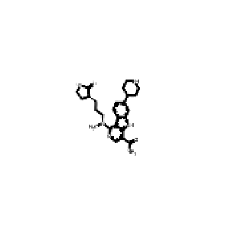 CN(CCC[C@H]1CCNC1=O)c1ncc(C(N)=O)c2[nH]c3cc(C4CCNCC4)ccc3c12